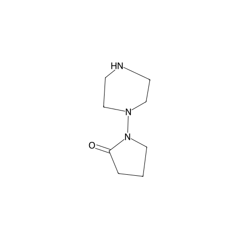 O=C1CCCN1N1CCNCC1